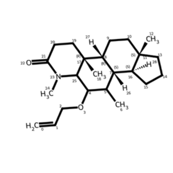 C=CCOC1C(C)[C@@H]2[C@@H](CC[C@]3(C)CCC[C@@H]23)[C@@]2(C)CCC(=O)N(C)C12